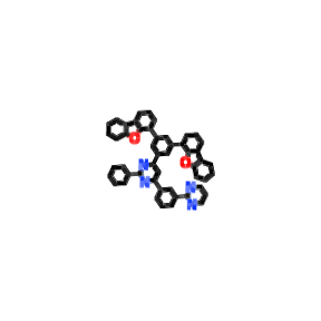 c1ccc(-c2nc(-c3cccc(-c4ncccn4)c3)cc(-c3cc(-c4cccc5c4oc4ccccc45)cc(-c4cccc5c4oc4ccccc45)c3)n2)cc1